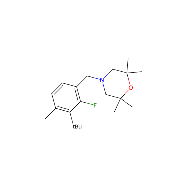 Cc1ccc(CN2CC(C)(C)OC(C)(C)C2)c(F)c1C(C)(C)C